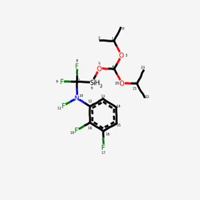 CC(C)OC(O[SiH2]C(F)(F)N(F)c1cccc(F)c1F)OC(C)C